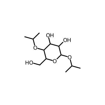 CC(C)OC1OC(CO)C(OC(C)C)C(O)C1O